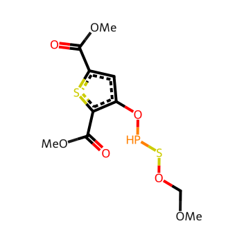 COCOSPOc1cc(C(=O)OC)sc1C(=O)OC